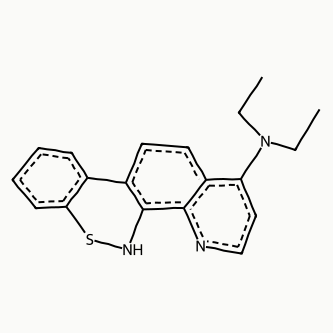 CCN(CC)c1ccnc2c3c(ccc12)-c1ccccc1SN3